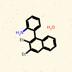 CCc1cc2ccccc2c(-c2ccccc2N)c1CC.O